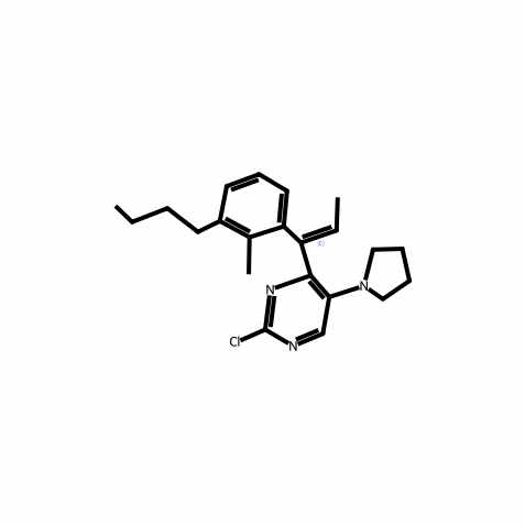 C/C=C(\c1cccc(CCCC)c1C)c1nc(Cl)ncc1N1CCCC1